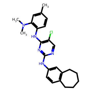 Cc1ccc(Nc2nc(Nc3ccc4c(c3)CCCCC4)ncc2Cl)c(N(C)C)c1